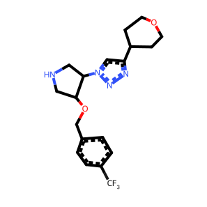 FC(F)(F)c1ccc(COC2CNCC2n2cc(C3CCOCC3)nn2)cc1